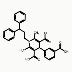 CC1=C(C(=O)O)C(c2cccc(C(=O)O)c2)C(C(=O)O)=C(C)N1CCC(c1ccccc1)c1ccccc1